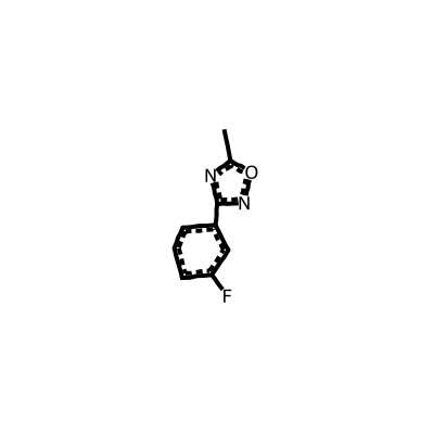 Cc1nc(-c2cccc(F)c2)no1